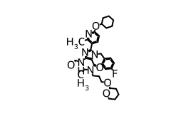 CCN(CCCOC1CCCCO1)C(=O)c1c(NC=O)nc(-c2ccc(OC3CCCCC3)nc2C)n1Cc1ccc(F)cc1